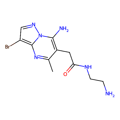 Cc1nc2c(Br)cnn2c(N)c1CC(=O)NCCN